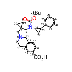 CC(C)(C)OC(=O)N(CC1(CN2CCc3cc(C(=O)O)ccc3C2)CC1)[C@H]1CC1c1ccccc1